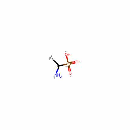 [CH2]CC(N)S(=O)(=O)O